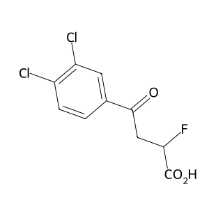 O=C(CC(F)C(=O)O)c1ccc(Cl)c(Cl)c1